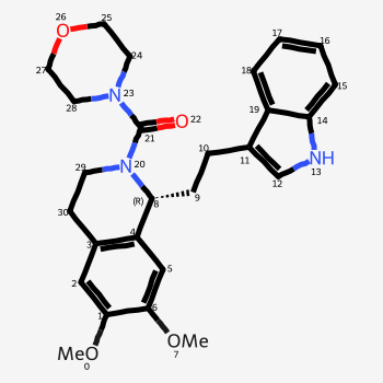 COc1cc2c(cc1OC)[C@@H](CCc1c[nH]c3ccccc13)N(C(=O)N1CCOCC1)CC2